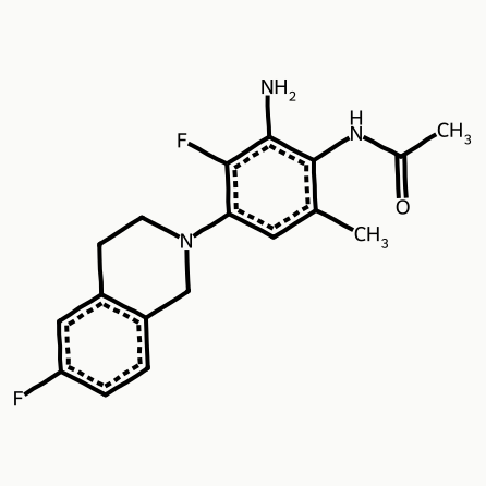 CC(=O)Nc1c(C)cc(N2CCc3cc(F)ccc3C2)c(F)c1N